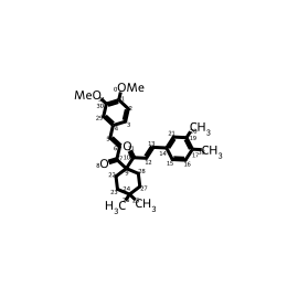 COc1ccc(/C=C/C(=O)C2(C(=O)/C=C/c3ccc(C)c(C)c3)CCC(C)(C)CC2)cc1OC